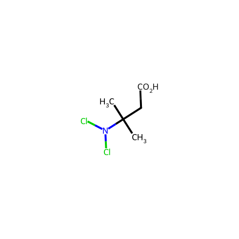 CC(C)(CC(=O)O)N(Cl)Cl